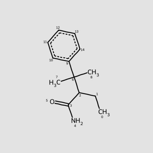 CCC(C(N)=O)C(C)(C)c1ccccc1